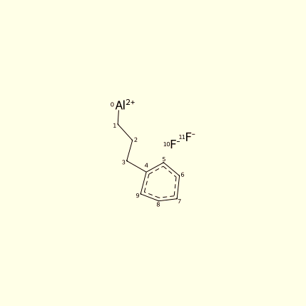 [Al+2][CH2]CCc1ccccc1.[F-].[F-]